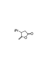 C=C1OC(=O)CC1C(C)C